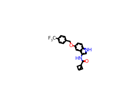 O=C(Nc1c[nH]c2ccc(OCc3ccc(C(F)(F)F)cc3)cc12)C12CC(C1)C2